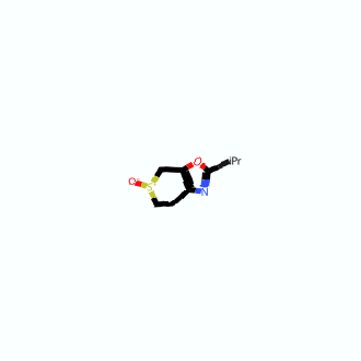 CC(C)c1nc2c(o1)C[S+]([O-])CC2